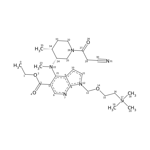 CCOC(=O)c1cnc2c(ccn2COCC[Si](C)(C)C)c1N(C)[C@H]1CN(C(=O)CC#N)CC[C@H]1C